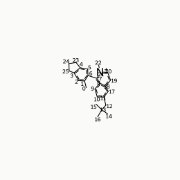 Cc1cc2c(cc1-c1c3ccc(CC(C)(C)C)cc3cc[n+]1C)CCC2